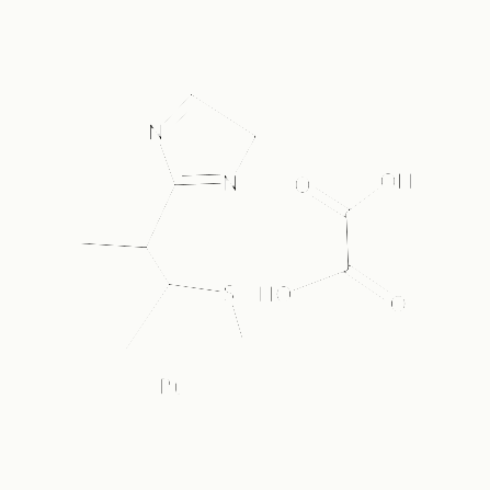 CSC(C)C(C)C1=NCC=N1.O=C(O)C(=O)O.[Pt]